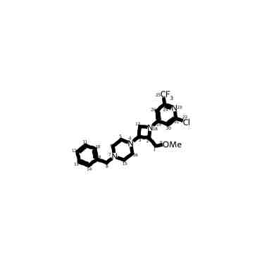 COCC1C(N2CCN(Cc3ccccc3)CC2)CN1c1cc(Cl)nc(C(F)(F)F)c1